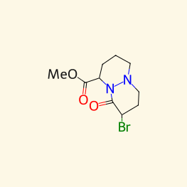 COC(=O)C1CCCN2CCC(Br)C(=O)N12